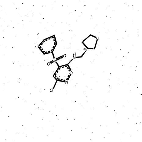 O=S(=O)(c1ccccc1)c1cc(Cl)nnc1NC[C@H]1CCOC1